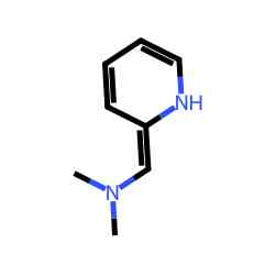 CN(C)C=C1C=CC=CN1